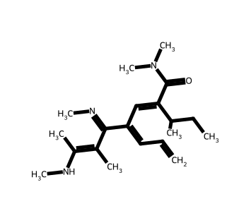 C=C/C=C(\C=C(\C(=O)N(C)C)C(C)CC)C(=N/C)/C(C)=C(\C)NC